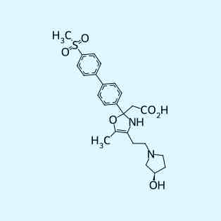 CC1=C(CCN2CC[C@@H](O)C2)NC(CC(=O)O)(c2ccc(-c3ccc(S(C)(=O)=O)cc3)cc2)O1